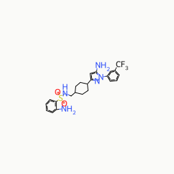 Nc1ccccc1S(=O)(=O)NCC1CCC(c2cc(N)n(-c3cccc(C(F)(F)F)c3)n2)CC1